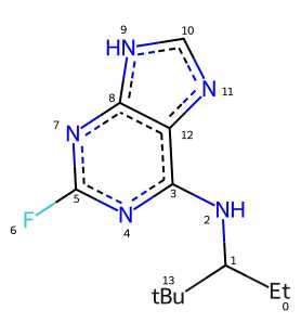 CCC(Nc1nc(F)nc2[nH]cnc12)C(C)(C)C